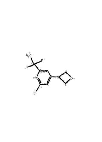 CC(F)(F)c1cc(C2COC2)cc(Cl)n1